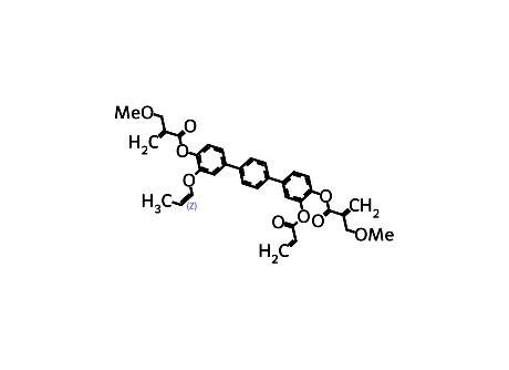 C=CC(=O)Oc1cc(-c2ccc(-c3ccc(OC(=O)C(=C)COC)c(O/C=C\C)c3)cc2)ccc1OC(=O)C(=C)COC